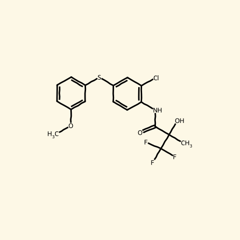 COc1cccc(Sc2ccc(NC(=O)C(C)(O)C(F)(F)F)c(Cl)c2)c1